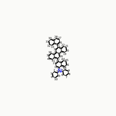 c1ccc(N(c2ccccc2)c2ccc(-c3cc4c5ccccc5c(-c5cccc6ccccc56)cc4c4ccccc34)c3ccccc23)cc1